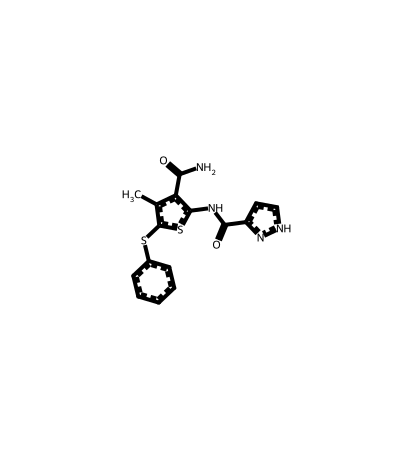 Cc1c(Sc2ccccc2)sc(NC(=O)c2cc[nH]n2)c1C(N)=O